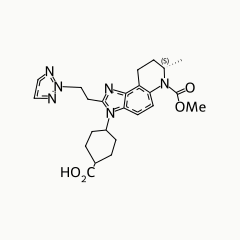 COC(=O)N1c2ccc3c(nc(CCn4nccn4)n3C3CCC(C(=O)O)CC3)c2CC[C@@H]1C